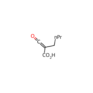 CCCCC(=C=O)C(=O)O